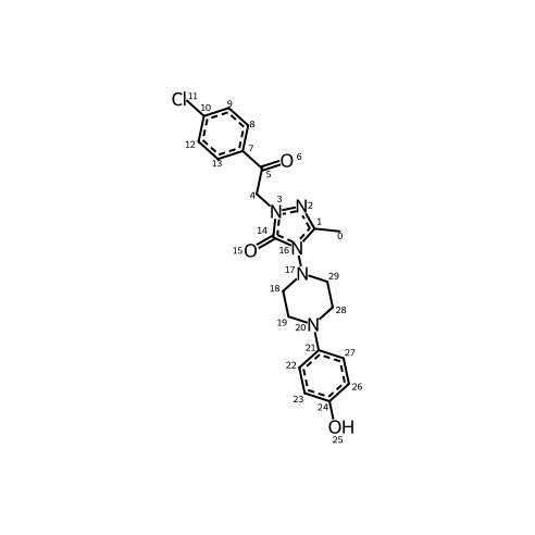 Cc1nn(CC(=O)c2ccc(Cl)cc2)c(=O)n1N1CCN(c2ccc(O)cc2)CC1